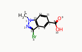 Cn1nc(Br)c2cc(C(=O)O)ccc21